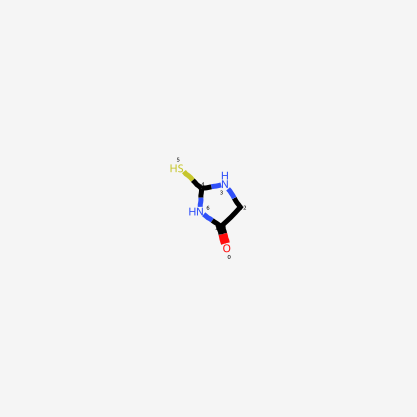 O=C1CNC(S)N1